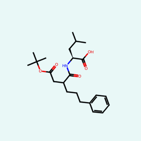 CC(C)C[C@H](NC(=O)C(CCCc1ccccc1)CC(=O)OC(C)(C)C)C(=O)O